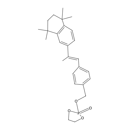 CC(=Cc1ccc(COP2(=O)OCCO2)cc1)c1ccc2c(c1)C(C)(C)CCC2(C)C